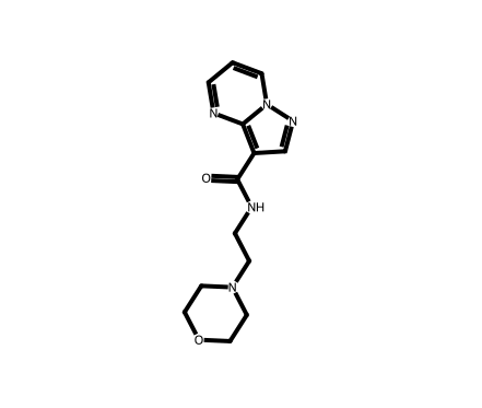 O=C(NCCN1CCOCC1)c1cnn2cccnc12